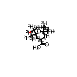 [2H]C([2H])([2H])C1(C([2H])([2H])[2H])CC(C(=O)O)CC(C([2H])([2H])[2H])(C([2H])([2H])[2H])O1